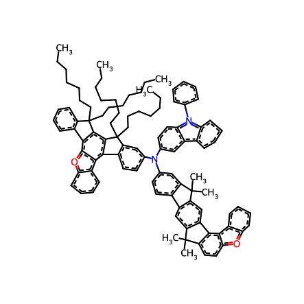 CCCCCCCC1(CCCCCCC)c2ccccc2-c2c1c1c(c3c2oc2ccccc23)-c2ccc(N(c3ccc4c(c3)C(C)(C)c3cc5c(cc3-4)C(C)(C)c3ccc4oc6ccccc6c4c3-5)c3ccc4c(c3)c3ccccc3n4-c3ccccc3)cc2C1(CCCCCCC)CCCCCCC